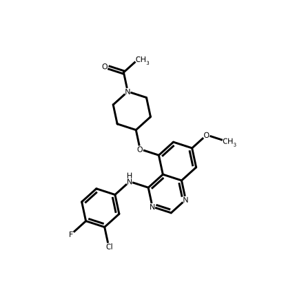 COc1cc(OC2CCN(C(C)=O)CC2)c2c(Nc3ccc(F)c(Cl)c3)ncnc2c1